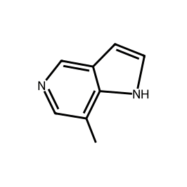 Cc1cncc2cc[nH]c12